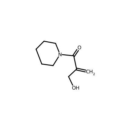 C=C(CO)C(=O)N1CCCCC1